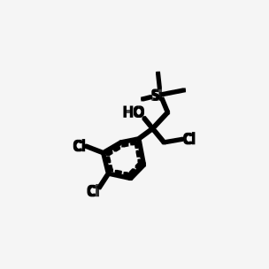 C[Si](C)(C)CC(O)(CCl)c1ccc(Cl)c(Cl)c1